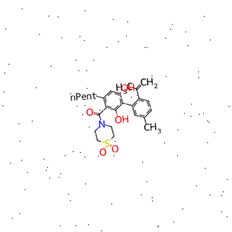 C=C(C)c1ccc(C)cc1-c1c(O)cc(CCCCC)c(C(=O)N2CCS(=O)(=O)CC2)c1O